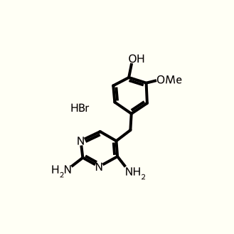 Br.COc1cc(Cc2cnc(N)nc2N)ccc1O